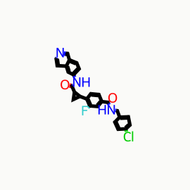 O=C(NCc1ccc(Cl)cc1)c1ccc(C2CC2C(=O)Nc2ccc3cnccc3c2)c(F)c1